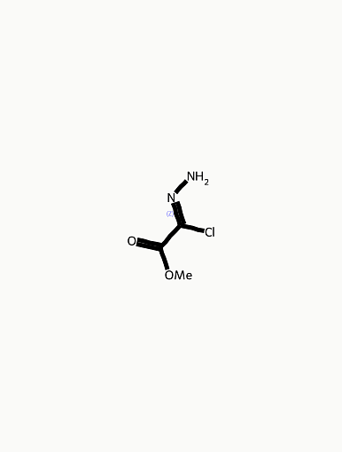 COC(=O)/C(Cl)=N/N